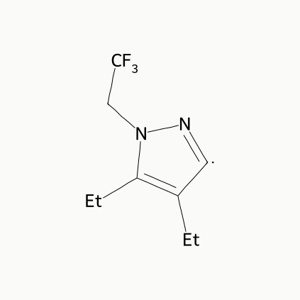 CCc1[c]nn(CC(F)(F)F)c1CC